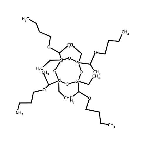 CCCCOC(C)[Si]1(CC)O[Si](CC)(C(C)OCCCC)O[Si](CC)(C(C)OCCCC)O[Si](CC)(C(C)OCCCC)O1